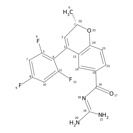 C[C@H]1C=C(c2c(F)cc(F)cc2F)c2cc(C(=O)N=C(N)N)ccc2O1